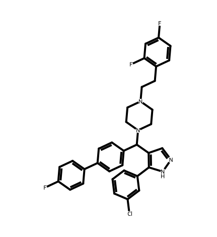 Fc1ccc(-c2ccc(C(c3cn[nH]c3-c3cccc(Cl)c3)N3CCN(CCc4ccc(F)cc4F)CC3)cc2)cc1